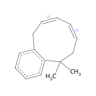 CC1(C)C/C=C\C=C/Cc2ccccc21